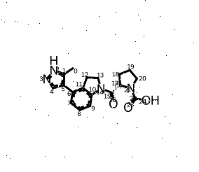 Cc1[nH]ncc1-c1cccc2c1CCN2C(=O)[C@@H]1CCCN1C(=O)O